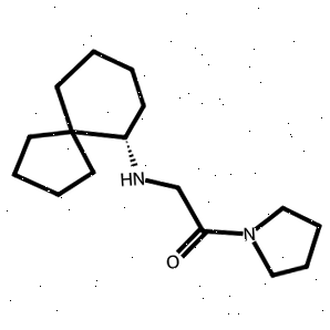 O=C(CN[C@H]1CCCCC12CCCC2)N1CCCC1